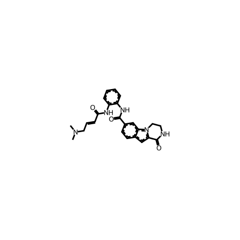 CN(C)CC=CC(=O)Nc1ccccc1NC(=O)c1ccc2cc3n(c2c1)CCNC3=O